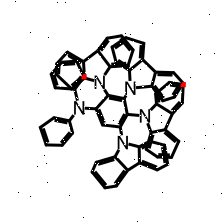 c1ccc(N(c2ccccc2)c2cc(-n3c4ccccc4c4ccccc43)c(-n3c4ccccc4c4ccccc43)c(-n3c4ccccc4c4ccccc43)c2-n2c3ccccc3c3ccccc32)cc1